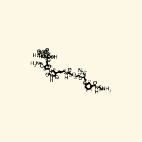 [N-]=[N+]=NC(COc1cccc(C(=O)NCCN)c1)OCCOCC(=O)NCC#Cc1cn(C2CC(OCN)C(COP(=O)(O)OP(=O)(O)OP(=O)(O)O)O2)c(=O)[nH]c1=O